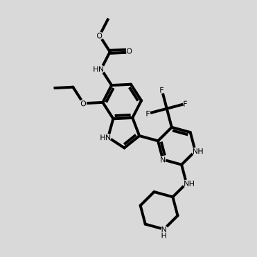 CCOc1c(NC(=O)OC)ccc2c(C3=NC(NC4CCCNC4)NC=C3C(F)(F)F)c[nH]c12